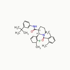 Cc1cccc(C)c1C(=O)N1CCC[C@H](C(=O)Nc2cccc(C(C)(C)C)c2)[C@@H]1C1=C(F)C(C)CC=C1